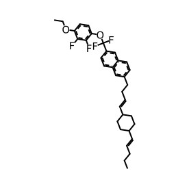 CCC/C=C/C1CCC(/C=C/CCc2ccc3cc(C(F)(F)Oc4ccc(OCC)c(F)c4F)ccc3c2)CC1